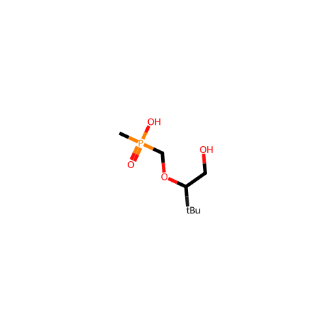 CC(C)(C)C(CO)OCP(C)(=O)O